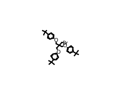 CC(C)(C)c1ccc(OCC(CBr)(COc2ccc(C(C)(C)C)cc2)COc2ccc(C(C)(C)C)cc2)cc1